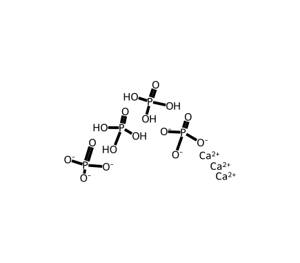 O=P(O)(O)O.O=P(O)(O)O.O=P([O-])([O-])[O-].O=P([O-])([O-])[O-].[Ca+2].[Ca+2].[Ca+2]